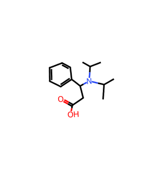 CC(C)N(C(C)C)C(CC(=O)O)c1ccccc1